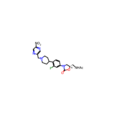 CC(=O)NC[C@H]1CN(c2ccc(C3CCN(Cc4cnc([N+](=O)[O-])cn4)CC3)c(F)c2)C(=O)O1